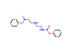 CN(CCNCCNC(=O)Oc1ccccc1)Cc1ccccc1